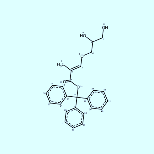 CC(=COCC(O)CO)C(=O)OC(c1ccccc1)(c1ccccc1)c1ccccc1